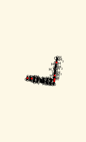 NC(=O)CC[C@H](N)C(=O)O.NC(=O)C[C@H](N)C(=O)O.NC(=O)C[C@H](N)C(=O)O.NCC(=O)O.N[C@@H](CC(=O)O)C(=O)O.N[C@@H](CC(=O)O)C(=O)O.N[C@@H](CCC(=O)O)C(=O)O.N[C@@H](CCC(=O)O)C(=O)O.N[C@@H](CO)C(=O)O.N[C@@H](CS)C(=O)O.N[C@@H](Cc1c[nH]cn1)C(=O)O.N[C@@H](Cc1c[nH]cn1)C(=O)O.O=C(O)[C@@H]1CCCN1